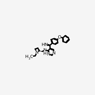 CCN1CC[C@H]1CNc1ncncc1C(=N)c1ccc(Oc2ccccc2)cc1